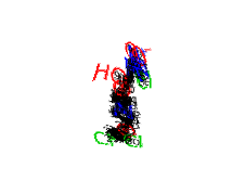 O=[N+]([O-])c1cn(CC[C@@H](O)COc2ccc(N3CCC(CCOc4ccc(Cl)cc4Cl)CC3)cc2)c(Cl)n1